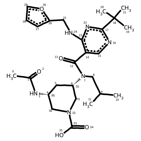 CC(=O)N[C@@H]1C[C@H](N(CC(C)C)C(=O)c2cnc(C(C)(C)C)nc2NCc2ccco2)CN(C(=O)O)C1